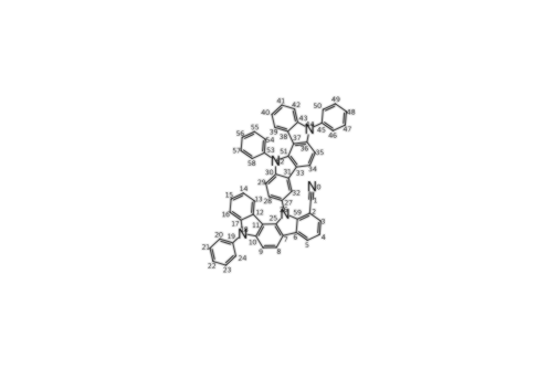 N#Cc1cccc2c3ccc4c(c5ccccc5n4-c4ccccc4)c3n(-c3ccc4c(c3)c3ccc5c(c6ccccc6n5-c5ccccc5)c3n4-c3ccccc3)c12